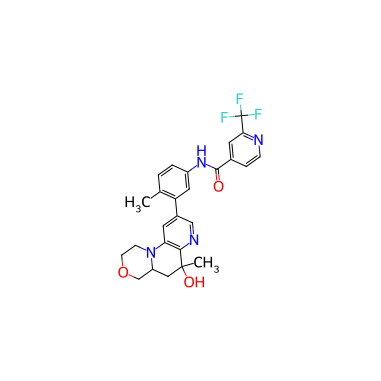 Cc1ccc(NC(=O)c2ccnc(C(F)(F)F)c2)cc1-c1cnc2c(c1)N1CCOCC1CC2(C)O